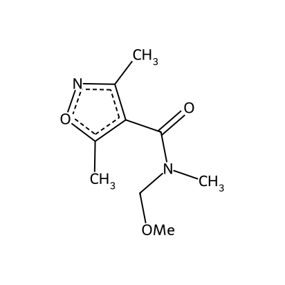 COCN(C)C(=O)c1c(C)noc1C